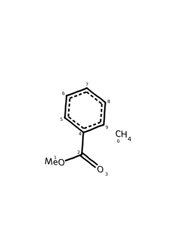 C.COC(=O)c1ccccc1